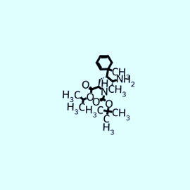 CC(C)OC(=O)[C@@H](C[C@@H]([C@@H](C)N)C1(C)C=CC=CC1)NC(=O)OC(C)(C)C